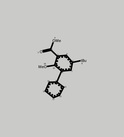 COC(=O)c1cc(C(C)(C)C)cc(-c2ccccc2)c1OC